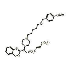 COc1ccc(COCCCCCN2CCC(N(C)C3=Nc4ccccc4CS3)CC2)cc1.O=C(O)C=CC(=O)O